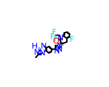 Cc1cn(-c2ccc(-c3cn([C@@H]4CCc5c(F)cccc5N(CC(F)(F)F)C4=O)nn3)cc2N)cn1